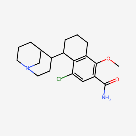 COc1c(C(N)=O)cc(Cl)c2c1CCCC2C1CCN2CCCC1C2